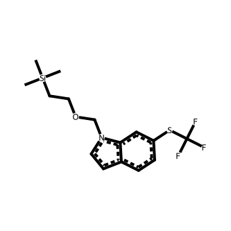 C[Si](C)(C)CCOCn1ccc2ccc(SC(F)(F)F)cc21